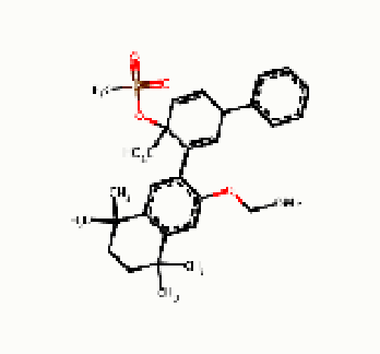 COCOc1cc2c(cc1C1=CC(c3ccccc3)C=CC1(OS(=O)(=O)C(F)(F)F)C(=O)O)C(C)(C)CCC2(C)C